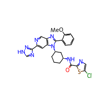 COc1ccccc1-c1nc2cnc(-c3nc[nH]n3)cc2n1[C@@H]1CCC[C@H](NC(=O)c2ncc(Cl)s2)C1